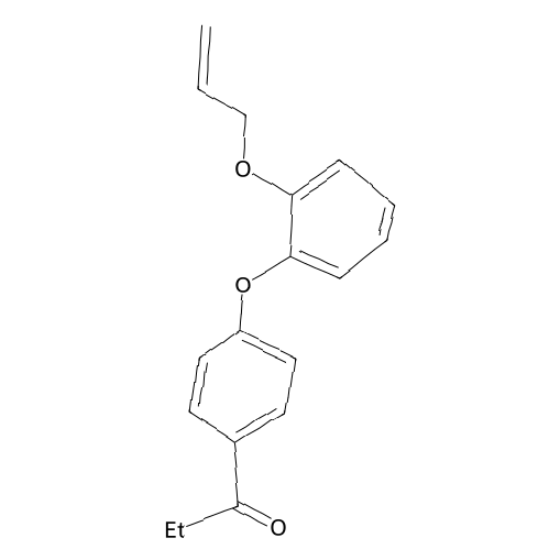 C=CCOc1ccccc1Oc1ccc(C(=O)CC)cc1